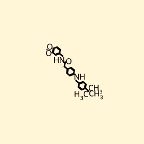 CC(C)(C)c1ccc(CNc2ccc(CC(=O)NCc3ccc4c(c3)OCO4)cc2)cc1